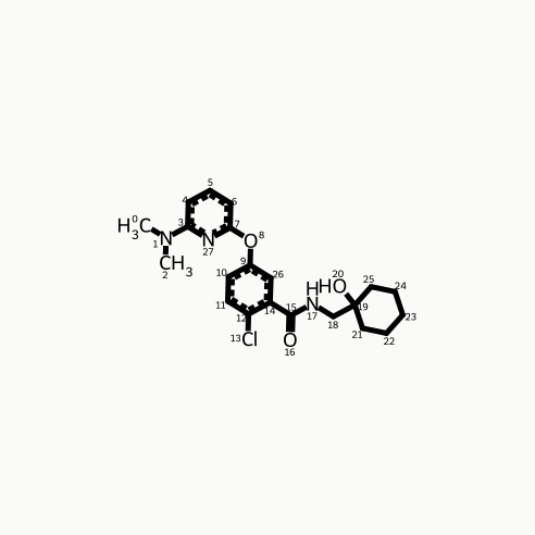 CN(C)c1cccc(Oc2ccc(Cl)c(C(=O)NCC3(O)CCCCC3)c2)n1